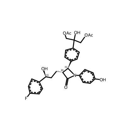 CC(=O)OCC(O)(COC(C)=O)c1ccc([C@@H]2[C@@H](CC[C@H](O)c3ccc(F)cc3)C(=O)N2c2ccc(O)cc2)cc1